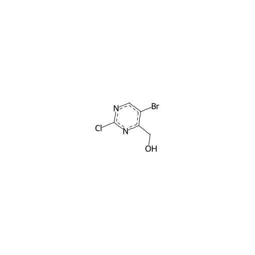 OCc1nc(Cl)ncc1Br